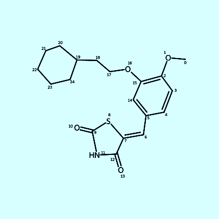 COc1ccc(/C=C2\SC(=O)NC2=O)cc1OCCC1CCCCC1